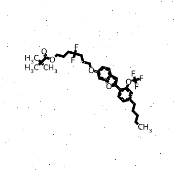 CCCCCc1ccc(-c2cc3ccc(OCCCC(F)(F)CCCOC(=O)C(C)(C)C)cc3o2)c(OC(F)(F)F)c1